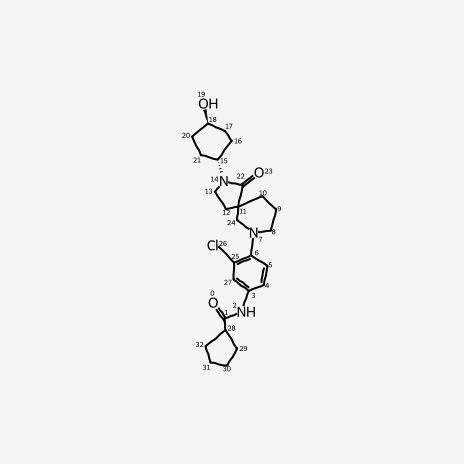 O=C(Nc1ccc(N2CCCC3(CCN([C@H]4CC[C@H](O)CC4)C3=O)C2)c(Cl)c1)C1CCCC1